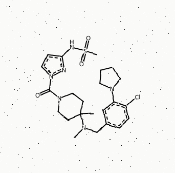 CN(Cc1ccc(Cl)c(N2CCCC2)c1)C1(C)CCN(C(=O)n2ccc(NS(C)(=O)=O)n2)CC1